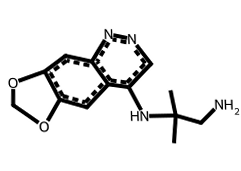 CC(C)(CN)Nc1cnnc2cc3c(cc12)OCO3